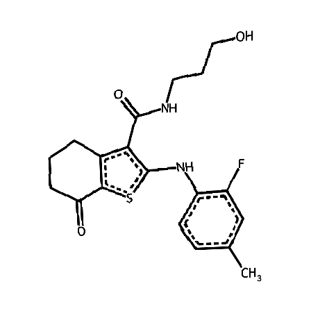 Cc1ccc(Nc2sc3c(c2C(=O)NCCCO)CCCC3=O)c(F)c1